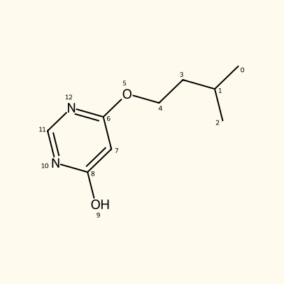 CC(C)CCOc1cc(O)ncn1